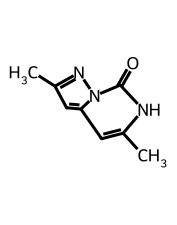 Cc1cc2cc(C)[nH]c(=O)n2n1